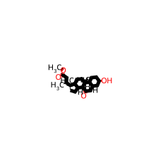 COC(=O)C[C@@H](C)[C@H]1CC[C@H]2[C@@H]3C(=O)C[C@@H]4C[C@H](O)CC[C@]4(C)[C@H]3CC[C@]12C